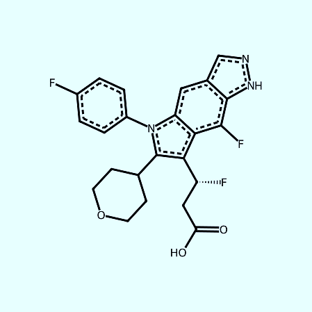 O=C(O)C[C@@H](F)c1c(C2CCOCC2)n(-c2ccc(F)cc2)c2cc3cn[nH]c3c(F)c12